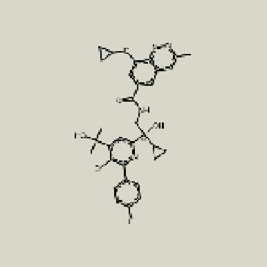 Cc1cc2cc(C(=O)NC[C@](O)(c3cc(C(C)(C)O)c(Cl)c(-c4ccc(F)cc4)n3)C3CC3)cc(OC3CC3)c2nn1